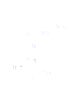 CC(C)C[C@@H](C(=O)N1C[C@]2(C[C@H]1C#N)C(=O)Nc1ccccc12)N(C)C(=O)C(=O)Nc1nn(C)c2ccccc12